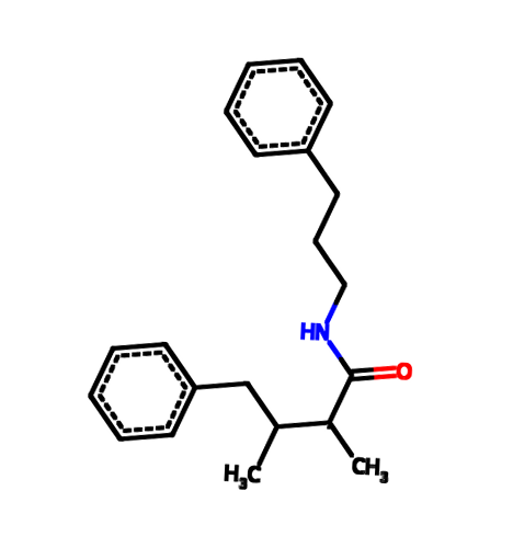 C[C](C(=O)NCCCc1ccccc1)C(C)Cc1ccccc1